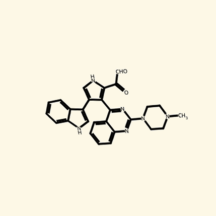 CN1CCN(c2nc(-c3c(-c4c[nH]c5ccccc45)c[nH]c3C(=O)C=O)c3ccccc3n2)CC1